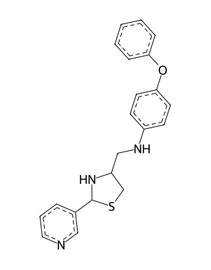 c1ccc(Oc2ccc(NCC3CSC(c4cccnc4)N3)cc2)cc1